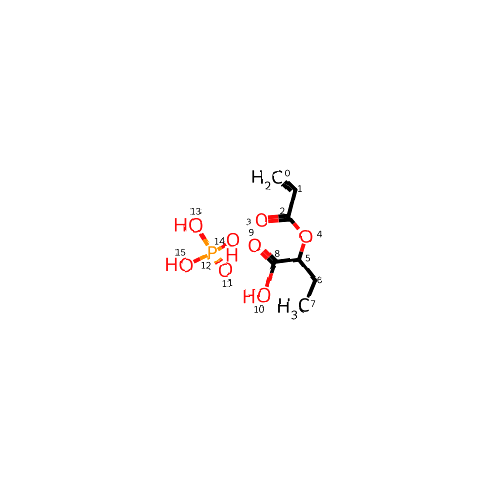 C=CC(=O)OC(CC)C(=O)O.O=P(O)(O)O